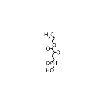 C=CCOC(=O)C(=O)CC[PH](=O)CO